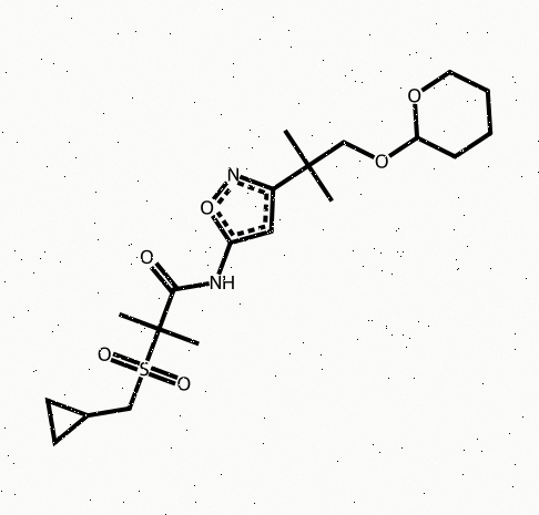 CC(C)(COC1CCCCO1)c1cc(NC(=O)C(C)(C)S(=O)(=O)CC2CC2)on1